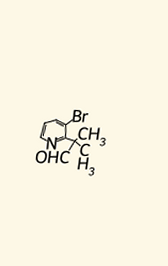 CC(C)(C=O)c1ncccc1Br